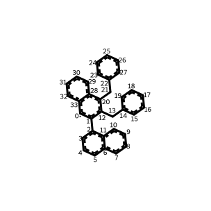 [c]1c(-c2cccc3ccccc23)c(Cc2ccccc2)c(Cc2ccccc2)c2ccccc12